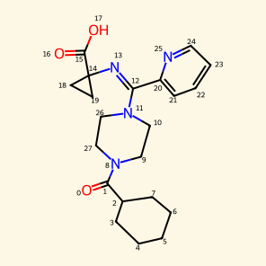 O=C(C1CCCCC1)N1CCN(C(=NC2(C(=O)O)CC2)c2ccccn2)CC1